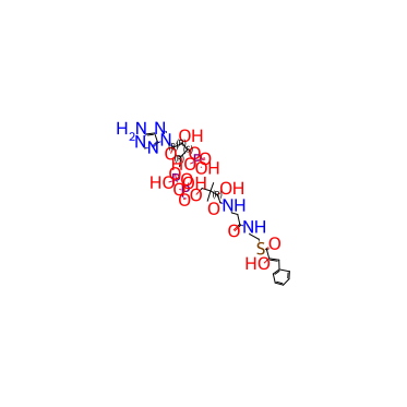 CC(C)(COP(=O)(O)OP(=O)(O)OC[C@H]1O[C@@H](n2cnc3c(N)ncnc32)[C@H](O)[C@@H]1OP(=O)(O)O)[C@@H](O)C(=O)NCCC(=O)NCCSC(=O)C(O)=Cc1ccccc1